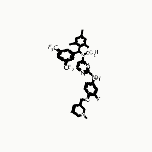 Cc1cc(C)c(C(c2cc(C(F)(F)F)cc(C(F)(F)F)c2)N(C(=O)O)c2ccnc(Nc3ccc(OCC4CCCN(C)C4)c(F)c3)n2)c(C)c1